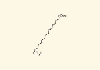 CCCCCCCCCCCC/C=C/C=C/CCCCCCCCC(=O)O